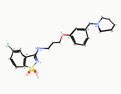 O=S1(=O)N=C(NCCCOc2cccc(CN3CCCCC3)c2)c2cc(Cl)ccc21